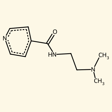 CN(C)CCNC(=O)c1ccncc1